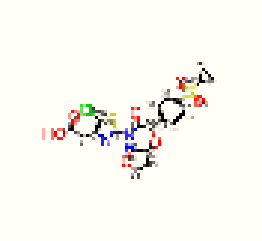 O=C(O)Cc1nc(NC(=O)C(OC2CCOC2)c2ccc(S(=O)(=O)C3CC3)cc2)sc1Cl